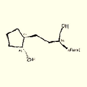 CCCCC[C@H](O)CC[C@@H]1CCC[C@H]1O